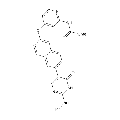 COC(=O)Nc1cc(Oc2ccc3nc(-c4cnc(NC(C)C)[nH]c4=O)ccc3c2)ccn1